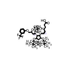 CC(C)(C)[Si](C)(C)OC(/C=C/[C@@H]1[C@@H](C/C=C\CCCC(=O)O)[C@@H](O[Si](C)(C)C(C)(C)C)C[C@H]1O[Si](C)(C)C(C)(C)C)COc1cccc(C(F)(F)F)c1